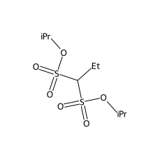 CCC(S(=O)(=O)OC(C)C)S(=O)(=O)OC(C)C